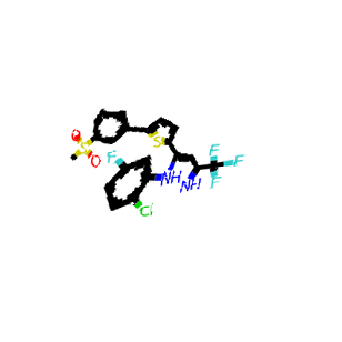 CS(=O)(=O)c1cccc(-c2ccc(/C(=C/C(=N)C(F)(F)F)Nc3cc(F)ccc3Cl)s2)c1